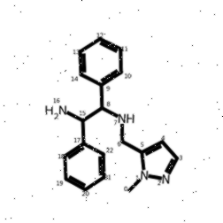 Cn1nccc1CNC(c1ccccc1)C(N)c1ccccc1